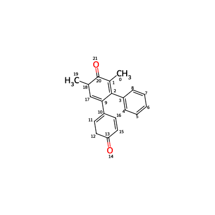 CC1=C(c2ccccc2)C(C2=CCC(=O)C=C2)=CC(C)C1=O